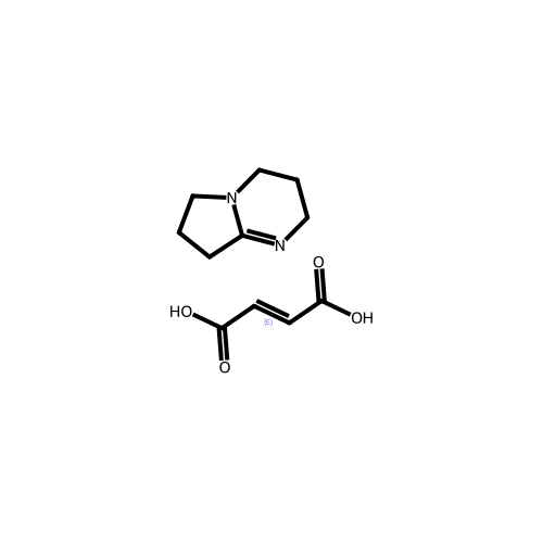 C1CN=C2CCCN2C1.O=C(O)/C=C/C(=O)O